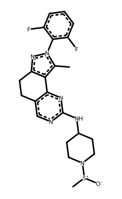 Cc1c2c(nn1-c1c(F)cccc1F)CCc1cnc(NC3CCN([S+](C)[O-])CC3)nc1-2